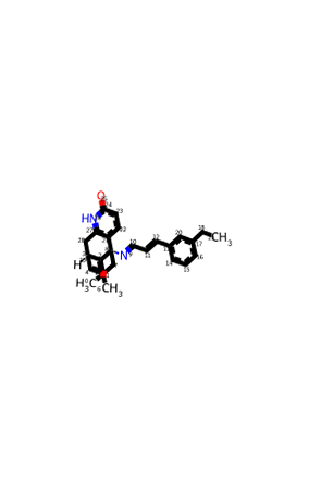 C/C=C1\[C@H]2C=C(C)C[C@]1(/N=C/C=C/c1cccc(CC)c1)c1ccc(=O)[nH]c1C2